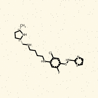 C[C@H]1CC[C@@H](CNCCCCNc2cc(F)c(SNc3nccs3)cc2Cl)N1